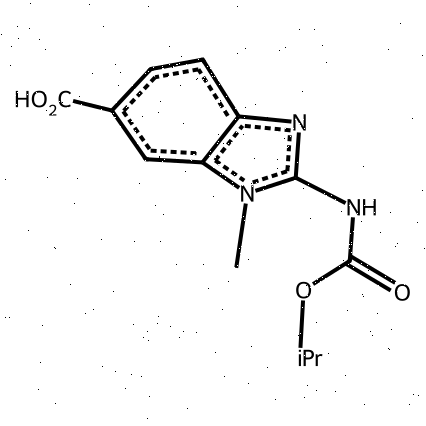 CC(C)OC(=O)Nc1nc2ccc(C(=O)O)cc2n1C